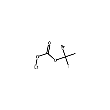 CCOC(=O)OC(C)(Br)I